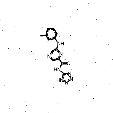 Cc1cccc(Nc2cncc(C(=O)Nc3nnn[nH]3)n2)c1